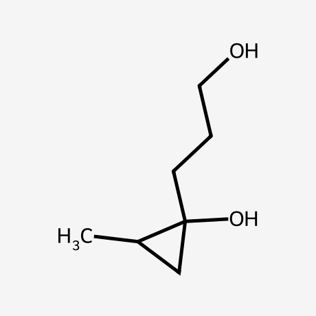 CC1CC1(O)CCCO